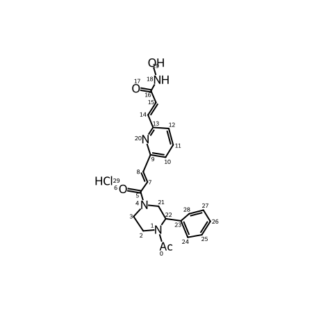 CC(=O)N1CCN(C(=O)/C=C/c2cccc(/C=C/C(=O)NO)n2)CC1c1ccccc1.Cl